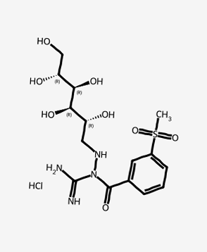 CS(=O)(=O)c1cccc(C(=O)N(NC[C@@H](O)[C@@H](O)[C@H](O)[C@H](O)CO)C(=N)N)c1.Cl